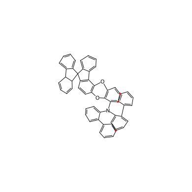 C1=CC2c3ccccc3C3(c4ccccc4-c4c3ccc3c4Oc4cccc(N(c5ccccc5-c5ccccc5)c5ccccc5-c5ccccc5)c4O3)C2C=C1